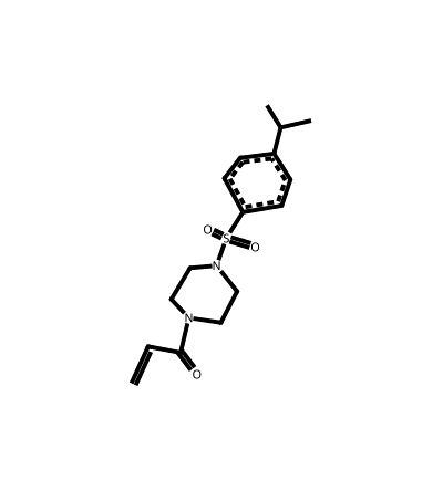 C=CC(=O)N1CCN(S(=O)(=O)c2ccc(C(C)C)cc2)CC1